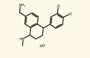 CNC1CCC(c2ccc(Cl)c(Cl)c2)c2ccc(CN)cc21.Cl